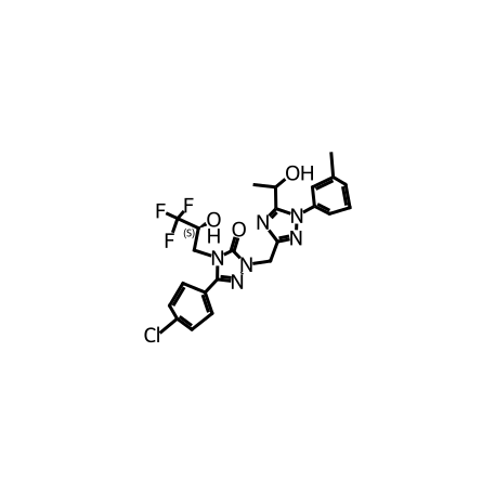 Cc1cccc(-n2nc(Cn3nc(-c4ccc(Cl)cc4)n(C[C@H](O)C(F)(F)F)c3=O)nc2C(C)O)c1